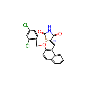 O=C1NC(=O)/C(=C/c2c(OCc3ccc(Cl)cc3Cl)ccc3ccccc23)S1